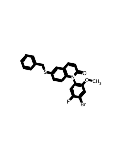 COc1cc(Br)c(F)cc1-n1c(=O)ccc2cc(SCc3ccccc3)ccc21